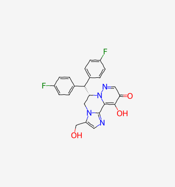 O=c1cnn2c(c1O)-c1ncc(CO)n1C[C@@H]2C(c1ccc(F)cc1)c1ccc(F)cc1